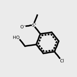 C[S+]([O-])c1ccc(Cl)cc1CO